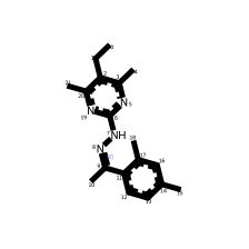 CCc1c(C)nc(N/N=C(/C)c2ccc(C)cc2C)nc1C